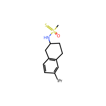 CC(C)c1ccc2c(c1)CCC(NS(C)(=O)=S)C2